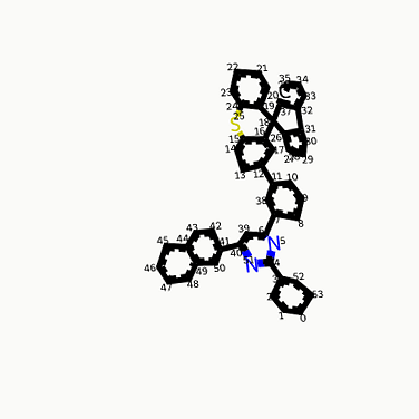 c1ccc(-c2nc(-c3cccc(-c4ccc5c(c4)C4(c6ccccc6S5)c5ccccc5-c5ccccc54)c3)cc(-c3ccc4ccccc4c3)n2)cc1